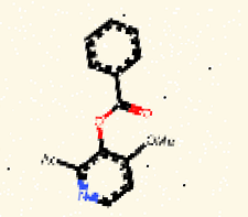 COc1ccnc(C(C)=O)c1OC(=O)c1ccccc1